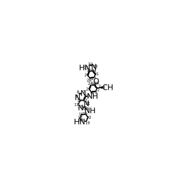 C#Cc1cc(Nc2ncnc3cnc(NC4CCNCC4)nc23)ccc1Oc1ccc2[nH]cnc2c1